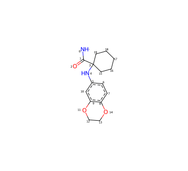 [NH]C(=O)C1(Nc2ccc3c(c2)OCCO3)CCCCC1